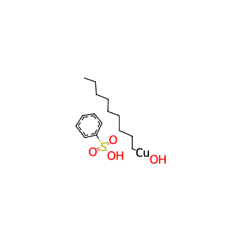 CCCCCCCC[CH2][Cu][OH].O=S(=O)(O)c1ccccc1